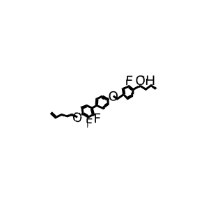 C=CCCCOc1ccc(-c2ccc(OCc3ccc(C(O)CCC)c(F)c3)cc2)c(F)c1F